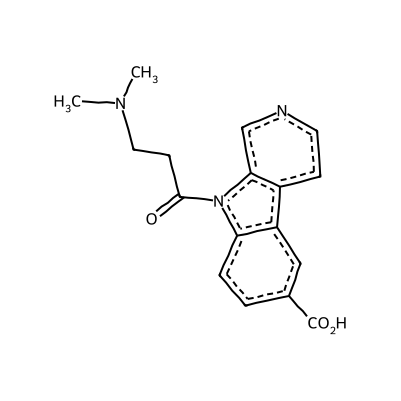 CN(C)CCC(=O)n1c2ccc(C(=O)O)cc2c2ccncc21